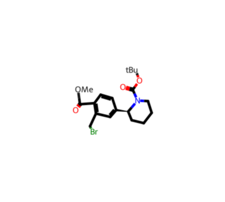 COC(=O)c1ccc([C@@H]2CCCCN2C(=O)OC(C)(C)C)cc1CBr